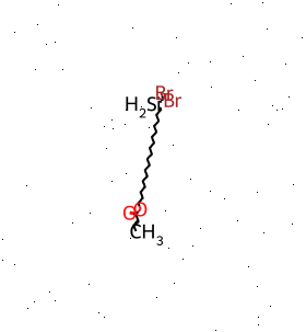 CC=CC(=O)OCCCCCCCCCCCCCCCCCC[SiH2]C(Br)Br